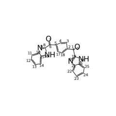 O=C(c1ccc(C(=O)c2nc3ccccc3[nH]2)cc1)c1nc2ccccc2[nH]1